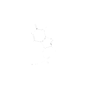 CCCCCCCS(=O)(=O)On1c(C)nc2c1c(O)nc(=O)n2C